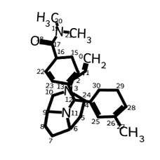 C=CCN1CCC2CCC(C1)N2C(C1=CCC(C(=O)N(C)C)C=C1)C1=CC(C)=CCC1